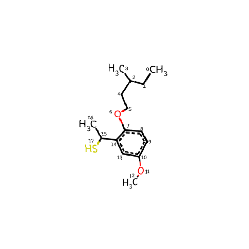 CCC(C)CCOc1ccc(OC)cc1C(C)S